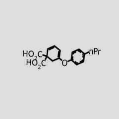 CCCc1ccc(OC2=CC=CC(C(=O)O)(C(=O)O)C2)cc1